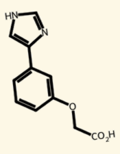 O=C(O)COc1cccc(-c2c[nH]cn2)c1